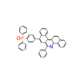 O=P(c1ccccc1)(c1ccccc1)c1ccc(-c2cc3c(-c4ccccc4)nc4c5ccccc5ccc4c3c3ccccc23)cc1